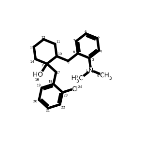 CN(C)c1ccccc1CC1CCCCC1(O)Cc1ccccc1Cl